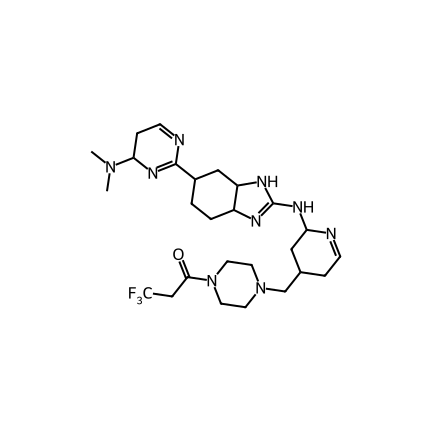 CN(C)C1CC=NC(C2CCC3N=C(NC4CC(CN5CCN(C(=O)CC(F)(F)F)CC5)CC=N4)NC3C2)=N1